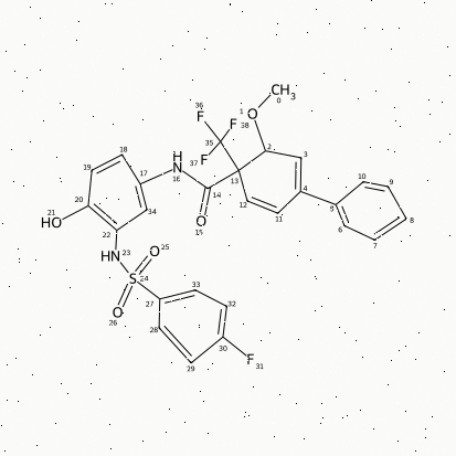 COC1C=C(c2ccccc2)C=CC1(C(=O)Nc1ccc(O)c(NS(=O)(=O)c2ccc(F)cc2)c1)C(F)(F)F